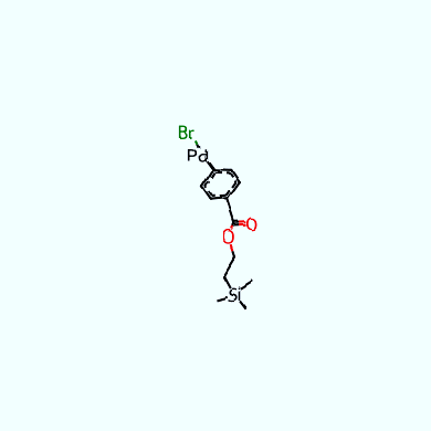 C[Si](C)(C)CCOC(=O)c1cc[c]([Pd][Br])cc1